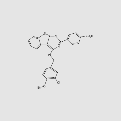 CCOc1ccc(CNc2nc(-c3ccc(C(=O)O)cc3)nc3sc4ccccc4c23)cc1Cl